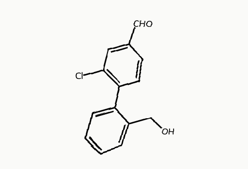 O=Cc1ccc(-c2ccccc2CO)c(Cl)c1